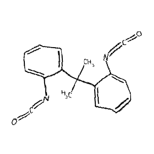 CC(C)(c1ccccc1N=C=O)c1ccccc1N=C=O